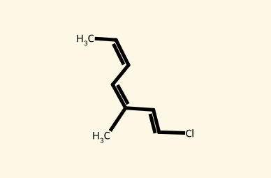 C\C=C/C=C(C)\C=C\Cl